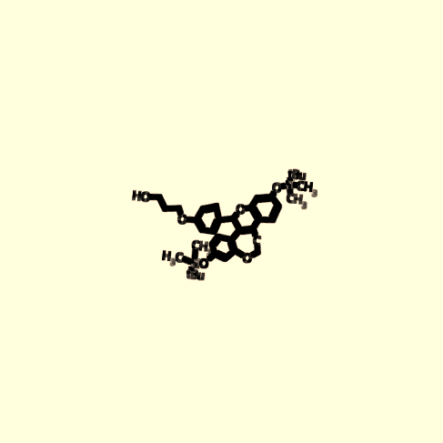 CC(C)(C)[Si](C)(C)Oc1ccc2c(c1)OC(c1ccc(OCCCO)cc1)C1=C2CCOc2cc(O[Si](C)(C)C(C)(C)C)ccc21